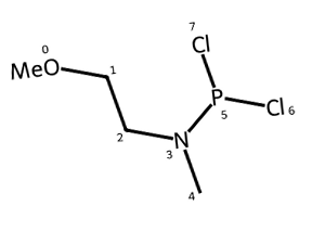 COCCN(C)P(Cl)Cl